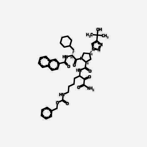 CC(C)(O)c1cn([C@@H]2C[C@@H](C(=O)NC(CCCCNC(=O)OCc3ccccc3)C(=O)C(N)=O)N(C(=O)[C@@H](CC3CCCCC3)NC(=O)c3ccc4ccccc4c3)C2)nn1